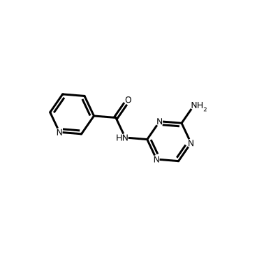 Nc1ncnc(NC(=O)c2cccnc2)n1